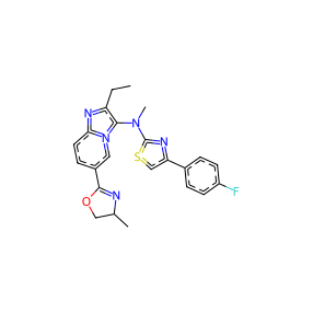 CCc1nc2ccc(C3=NC(C)CO3)cn2c1N(C)c1nc(-c2ccc(F)cc2)cs1